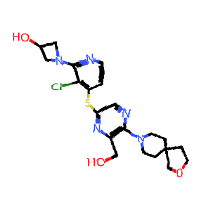 OCc1nc(Sc2ccnc(N3CC(O)C3)c2Cl)cnc1N1CCC2(CCOC2)CC1